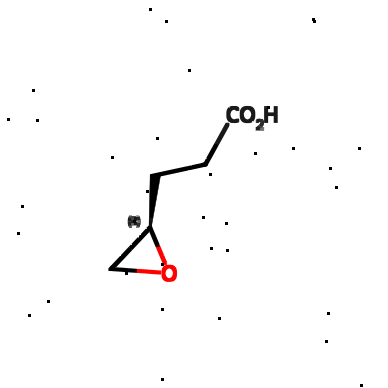 O=C(O)CC[C@@H]1CO1